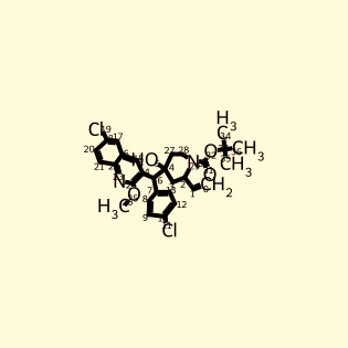 C=CC1CC(O)(C(c2ccc(Cl)cc2)c2cc3cc(Cl)ccc3nc2OC)CCN1C(=O)OC(C)(C)C